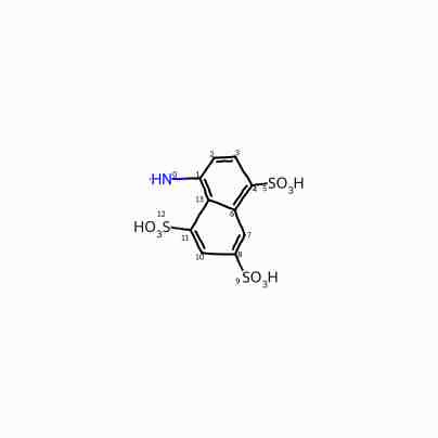 [NH]c1ccc(S(=O)(=O)O)c2cc(S(=O)(=O)O)cc(S(=O)(=O)O)c12